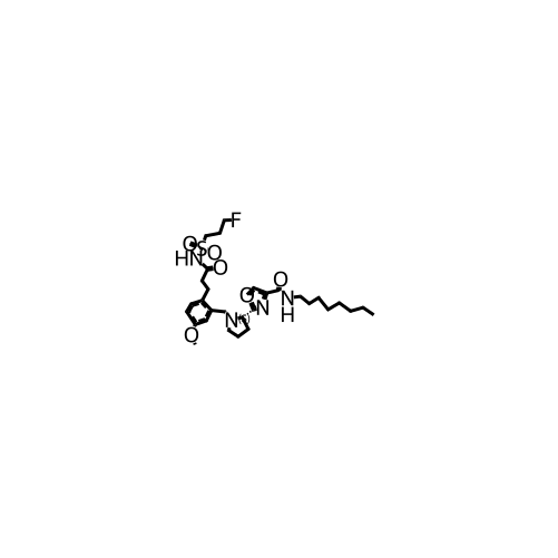 CCCCCCCCNC(=O)c1coc([C@@H]2CCCN2Cc2cc(OC)ccc2CCC(=O)NS(=O)(=O)CCCF)n1